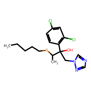 CCCCCSC(C)C(O)(Cn1cncn1)c1ccc(Cl)cc1Cl